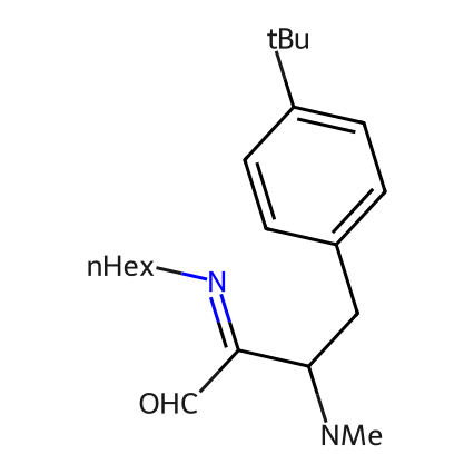 CCCCCCN=C(C=O)C(Cc1ccc(C(C)(C)C)cc1)NC